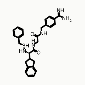 N=C(N)c1ccc(CNC(=O)CNC(=O)[C@H](NBCc2ccccc2)C2Cc3ccccc3C2)cc1